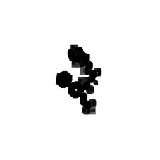 C[C@H](NC(=O)[C@H]1C[C@@H](c2ccccc2)CCN1CCC(=O)O)C(=O)NCc1cc2cnccc2[nH]1